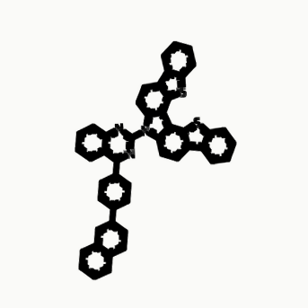 c1ccc2cc(-c3ccc(-c4nc(-n5c6ccc7c8ccccc8sc7c6c6c7sc8ccccc8c7ccc65)nc5ccccc45)cc3)ccc2c1